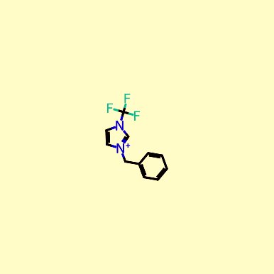 FC(F)(F)n1cc[n+](Cc2ccccc2)c1